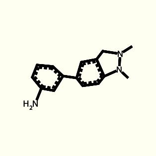 CN1Cc2cc(-c3cccc(N)c3)ccc2N1C